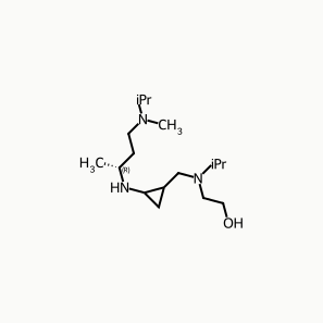 CC(C)N(C)CC[C@@H](C)NC1CC1CN(CCO)C(C)C